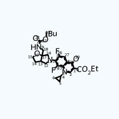 CCOC(=O)c1cn(C2CC2)c2c(F)c(N3CC4CCOC4(CNC(=O)OC(C)(C)C)C3)c(F)cc2c1=O